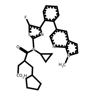 Cn1ccc2cc(-c3ccccc3-c3nc(N(C(=O)C(CC(=O)O)CC4CCCC4)C4CC4)sc3F)cnc21